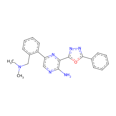 CN(C)Cc1ccccc1-c1cnc(N)c(-c2nnc(-c3ccccc3)o2)n1